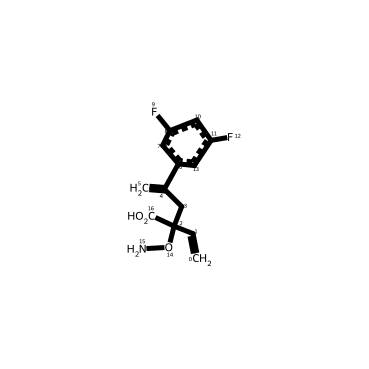 C=CC(CC(=C)c1cc(F)cc(F)c1)(ON)C(=O)O